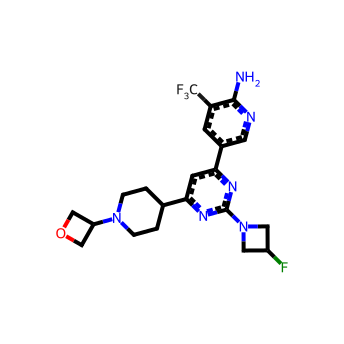 Nc1ncc(-c2cc(C3CCN(C4COC4)CC3)nc(N3CC(F)C3)n2)cc1C(F)(F)F